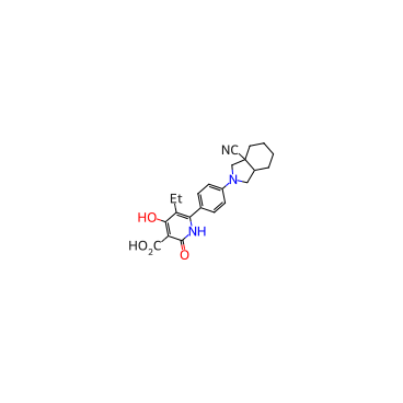 CCc1c(-c2ccc(N3CC4CCCCC4(C#N)C3)cc2)[nH]c(=O)c(C(=O)O)c1O